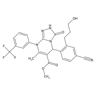 COC(=O)C1=C(C)N(c2cccc(C(F)(F)F)c2)c2n[nH]c(=O)n2C1c1ccc(C#N)cc1CCCO